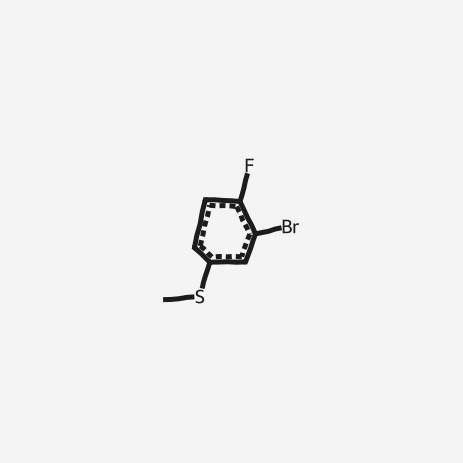 CSc1ccc(F)c(Br)c1